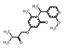 COc1cc(C(C)n2c(C)cc(OCC(=O)N(C)C)cc2=O)ccn1